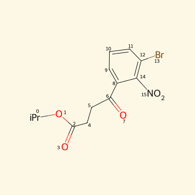 CC(C)OC(=O)CCC(=O)c1cccc(Br)c1[N+](=O)[O-]